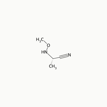 CON[C@@H](C)C#N